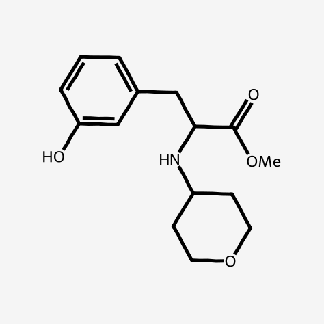 COC(=O)C(Cc1cccc(O)c1)NC1CCOCC1